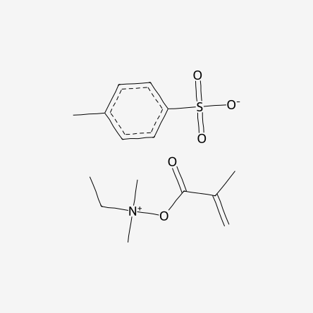 C=C(C)C(=O)O[N+](C)(C)CC.Cc1ccc(S(=O)(=O)[O-])cc1